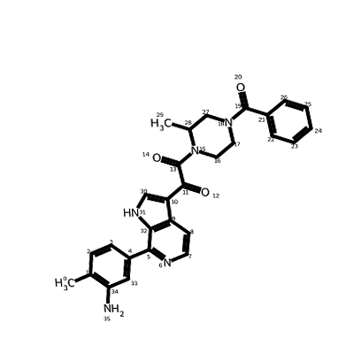 Cc1ccc(-c2nccc3c(C(=O)C(=O)N4CCN(C(=O)c5ccccc5)CC4C)c[nH]c23)cc1N